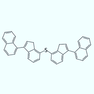 C1=C(c2cccc3ccccc23)c2cccc(Sc3cccc4c3CC=C4c3cccc4ccccc34)c2C1